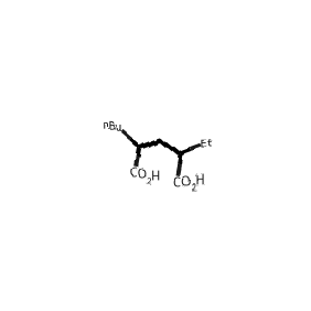 CCCCC(CC(CC)C(=O)O)C(=O)O